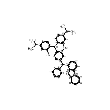 CC(C)c1ccc2c(c1)Oc1cc(C(c3ccccc3)c3cccc4c3oc3ccccc34)cc3c1B2c1ccc(C(C)C)cc1O3